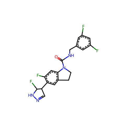 O=C(NCc1cc(F)cc(F)c1)N1CCc2cc(C3C=NNC3F)c(F)cc21